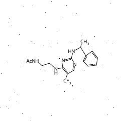 CC(=O)NCCNc1nc(NC(C)c2ccccc2)ncc1C(F)(F)F